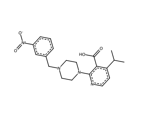 CC(C)c1ccnc(N2CCN(Cc3cccc([N+](=O)[O-])c3)CC2)c1C(=O)O